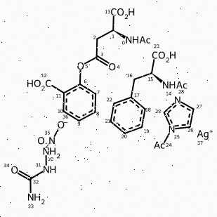 CC(=O)N[C@@H](CC(=O)Oc1ccccc1C(=O)O)C(=O)O.CC(=O)N[C@@H](Cc1ccccc1)C(=O)O.CC(=O)n1ccnc1.NNC(N)=O.O=[N+]([O-])[O-].[Ag+]